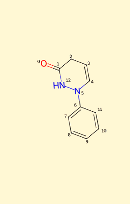 O=C1CC=CN(c2ccccc2)N1